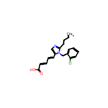 CCCCc1ncc(C=CC=CC(=O)O)n1Cc1ccccc1Cl